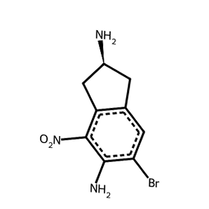 Nc1c(Br)cc2c(c1[N+](=O)[O-])C[C@@H](N)C2